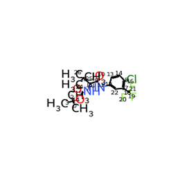 CC(C)(C)OC(=O)N[C@H](C(=O)Nc1ccc(Cl)c(C(F)(F)F)c1)C(C)(C)C